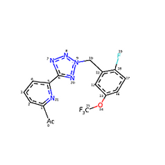 CC(=O)c1cccc(-c2nnn(Cc3cc(OC(F)(F)F)ccc3F)n2)n1